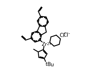 C=Cc1ccc2c(c1)-c1cc(C=C)c[c]([Zr+2]([C]3=CC(C(C)(C)C)=CC3C)=[C]3CCCCC3)c1C2.[Cl-].[Cl-]